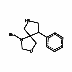 CC(C)(C)N1COCC12CNCC2c1ccccc1